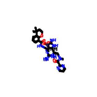 CN(CC1NC(=N)N2CC(NC(=O)c3cccc4c3OCCC4(C)C)[C@](C)(O)C23[C@H]1NC(=N)N3O)C(=O)c1ncccn1